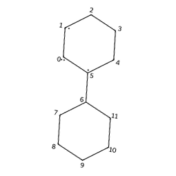 [C]1[CH]CCC[C]1C1CCCCC1